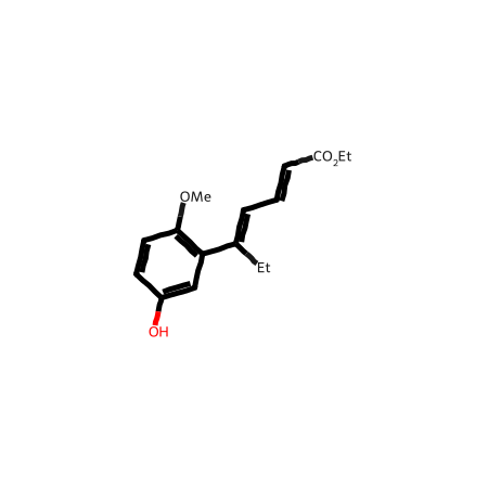 CCOC(=O)C=CC=C(CC)c1cc(O)ccc1OC